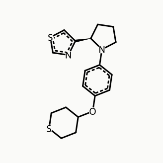 c1nc([C@H]2CCCN2c2ccc(OC3CCSCC3)cc2)cs1